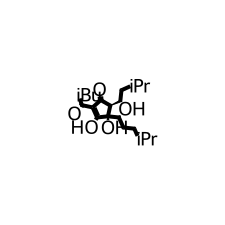 CCC(C)C(=O)C1=C(O)[C@@](O)([C@H](O)CCC(C)C)[C@H](CCC(C)C)C1=O